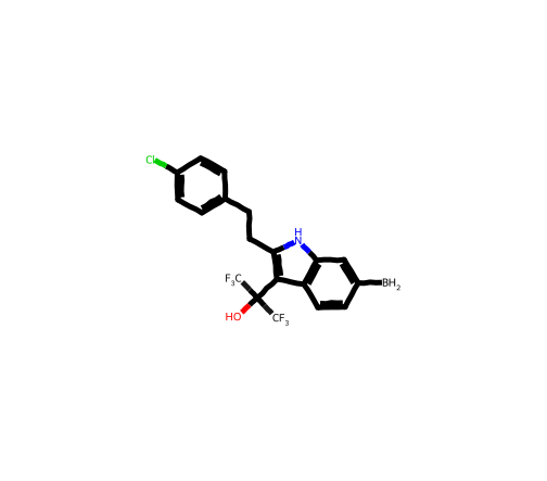 Bc1ccc2c(C(O)(C(F)(F)F)C(F)(F)F)c(CCc3ccc(Cl)cc3)[nH]c2c1